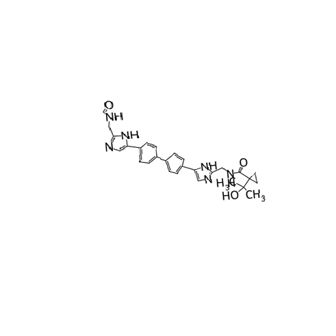 CC(C)(O)C1(C(=O)NCc2ncc(-c3ccc(-c4ccc(-c5cnc(CNC=O)[nH]5)cc4)cc3)[nH]2)CC1